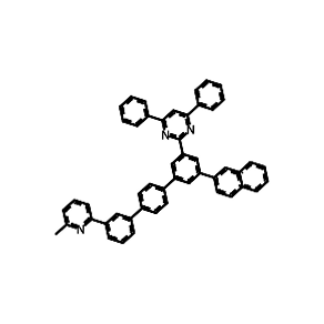 Cc1cccc(-c2cccc(-c3ccc(-c4cc(-c5ccc6ccccc6c5)cc(-c5nc(-c6ccccc6)cc(-c6ccccc6)n5)c4)cc3)c2)n1